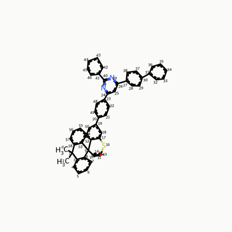 CC1(C)c2ccccc2C2(c3ccccc3Sc3cc(-c4ccc(-c5cc(-c6ccc(-c7ccccc7)cc6)nc(-c6ccccc6)n5)cc4)ccc32)c2ccccc21